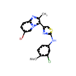 COc1ccc(Nc2nc(-c3c(C)nc4ccc(Br)cn34)cs2)cc1Cl